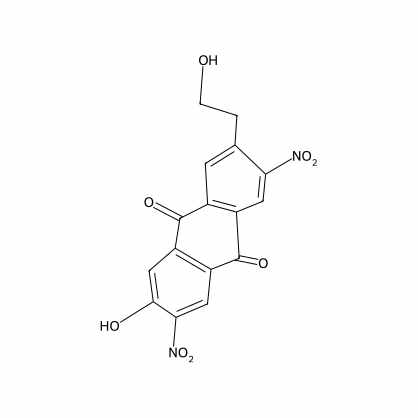 O=C1c2cc(O)c([N+](=O)[O-])cc2C(=O)c2cc([N+](=O)[O-])c(CCO)cc21